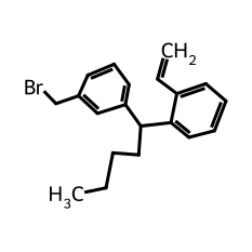 C=Cc1ccccc1C(CCCC)c1cccc(CBr)c1